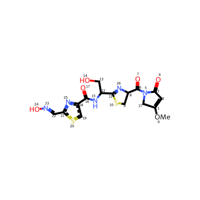 COC1=CC(=O)N(C(=O)C2CSC(C(CO)NC(=O)c3csc(C=NO)n3)=N2)C1